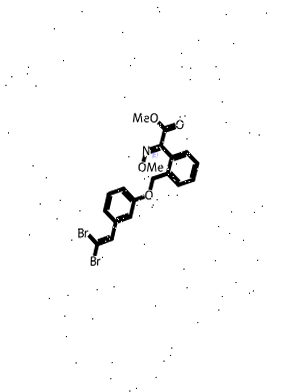 CO/N=C(/C(=O)OC)c1ccccc1COc1cccc(C=C(Br)Br)c1